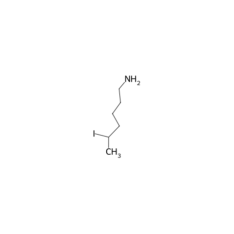 CC(I)CCCCN